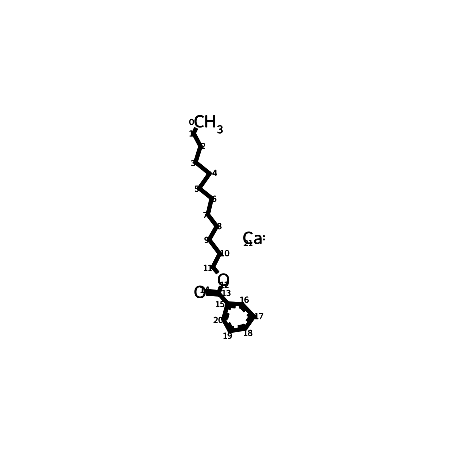 CCCCCCCCCCCCOC(=O)c1ccccc1.[Ca]